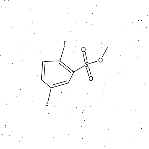 COS(=O)(=O)c1cc(F)ccc1F